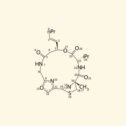 CCC/C=C/[C@@H]1CC(=O)NCc2nc(co2)C2=N[C@@](C)(CS2)C(=O)N[C@@H](C(C)C)C(=O)O1